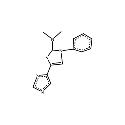 CN(C)C1SC(c2cncs2)=[C]N1c1ccccc1